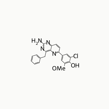 COc1cc(-c2ccc3nc(N)nc(Cc4ccccc4)c3n2)cc(Cl)c1O